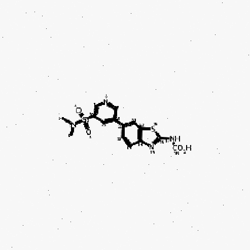 CN(C)S(=O)(=O)c1cncc(-c2ccc3nc(NC(=O)O)sc3c2)c1